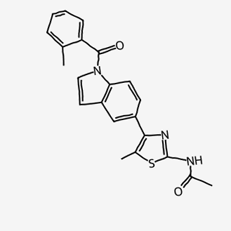 CC(=O)Nc1nc(-c2ccc3c(ccn3C(=O)c3ccccc3C)c2)c(C)s1